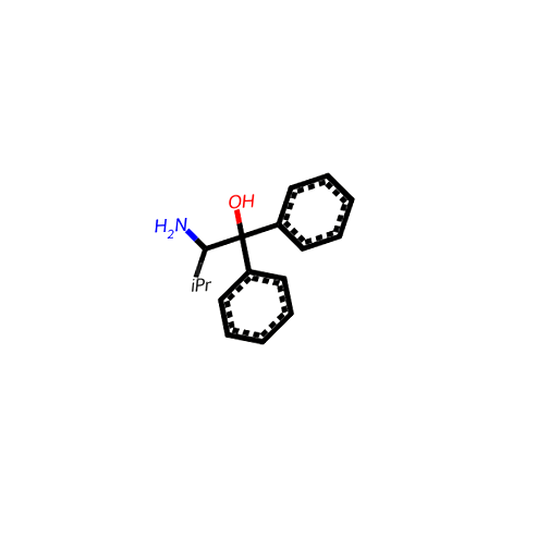 CC(C)C(N)C(O)(c1ccccc1)c1ccccc1